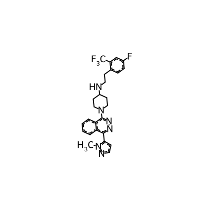 Cn1nccc1-c1nnc(N2CCC(NCCc3ccc(F)cc3C(F)(F)F)CC2)c2ccccc12